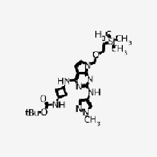 Cn1cc(Nc2nc(N[C@H]3C[C@H](NC(=O)OC(C)(C)C)C3)c3ccn(COCC[Si](C)(C)C)c3n2)cn1